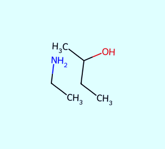 CCC(C)O.CCN